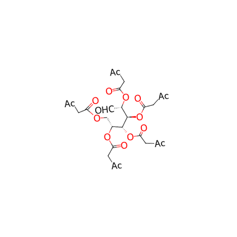 CC(=O)CC(=O)OC[C@@H](OC(=O)CC(C)=O)[C@@H](OC(=O)CC(C)=O)[C@H](OC(=O)CC(C)=O)[C@H](C=O)OC(=O)CC(C)=O